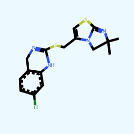 CC1(C)CN2C(CSC3=NCc4ccc(Cl)cc4N3)=CSC2=N1